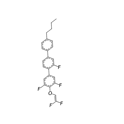 CCCCc1ccc(-c2ccc(-c3cc(F)c(OC=C(F)F)c(F)c3)c(F)c2)cc1